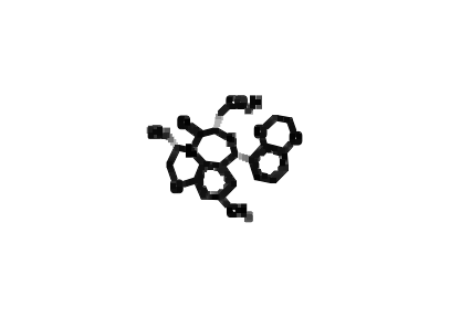 Cc1cc2c3c(c1)[C@@H](c1cccc4c1OCCO4)S[C@@H](CC(=O)O)C(=O)N3[C@@H](C(C)(C)C)CO2